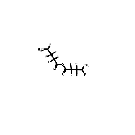 CC(F)C(F)(F)C(F)(F)C(=O)OC(=O)C(F)(F)C(F)(F)C(C)F